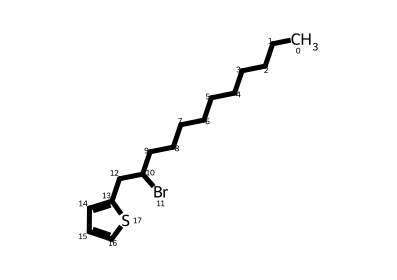 CCCCCCCCCCC(Br)Cc1cccs1